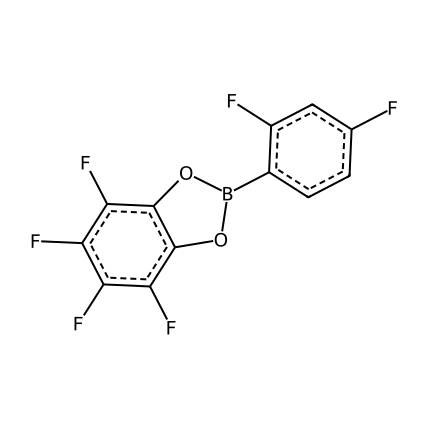 Fc1ccc(B2Oc3c(F)c(F)c(F)c(F)c3O2)c(F)c1